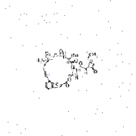 C=C[C@@H]1CC(=O)C1NC(=O)[C@@H]1C[C@@H]2CN1C(=O)[C@H](C(C)(C)C)NC(=O)OCC(C)(C)CC/C=C/c1cccc3c1CC(C3)C(=O)O2